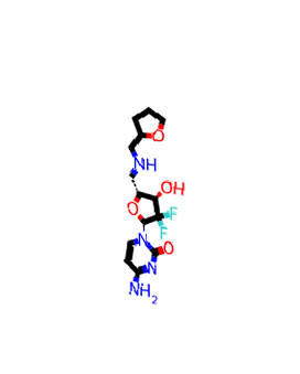 Nc1ccn([C@@H]2O[C@H](CNCC3CCCO3)[C@@H](O)C2(F)F)c(=O)n1